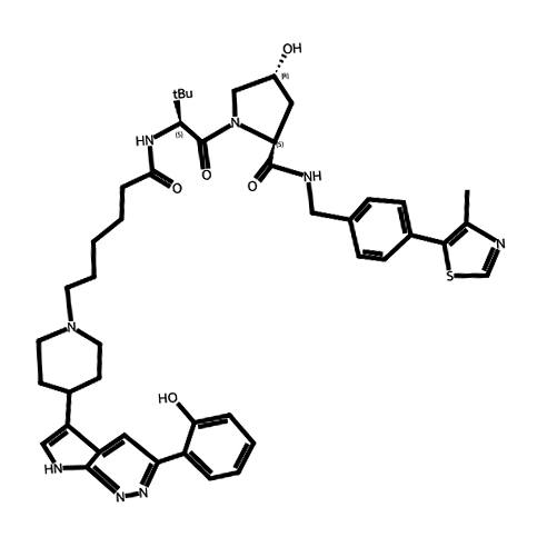 Cc1ncsc1-c1ccc(CNC(=O)[C@@H]2C[C@@H](O)CN2C(=O)[C@@H](NC(=O)CCCCCN2CCC(c3c[nH]c4nnc(-c5ccccc5O)cc34)CC2)C(C)(C)C)cc1